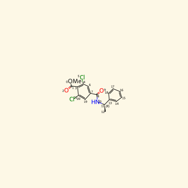 COC(=O)c1c(Cl)cc(C(=O)N[C@H](C)c2ccccc2)cc1Cl